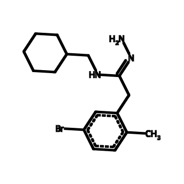 Cc1ccc(Br)cc1C/C(=N/N)NCC1CCCCC1